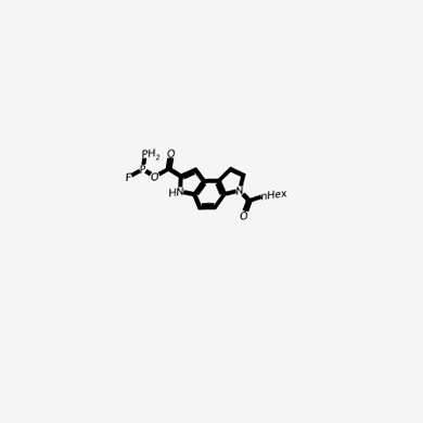 CCCCCCC(=O)N1CCc2c1ccc1[nH]c(C(=O)OP(F)P)cc21